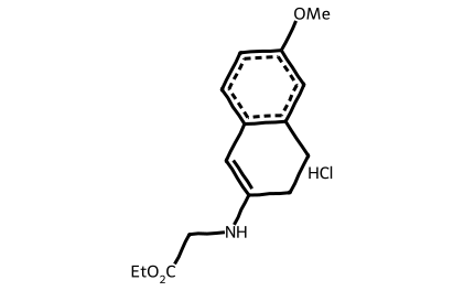 CCOC(=O)CNC1=Cc2ccc(OC)cc2CC1.Cl